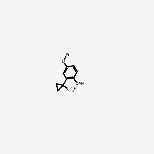 CCOc1ccc(OC)c(C2(C(=O)O)CC2)c1